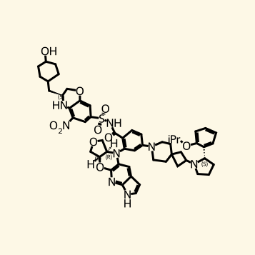 CC(C)Oc1ccccc1[C@@H]1CCCN1C1CC2(CCN(c3ccc(C(=O)NS(=O)(=O)c4cc5c(c([N+](=O)[O-])c4)N[C@@H](CC4CCC(O)CC4)CO5)c(N4c5cc6cc[nH]c6nc5O[C@@H]5COC[C@H]54)c3)CC2)C1